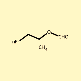 C.CCCCCOC=O